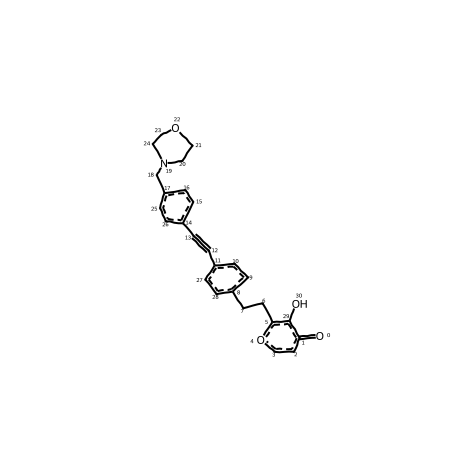 O=c1ccoc(CCc2ccc(C#Cc3ccc(CN4CCOCC4)cc3)cc2)c1O